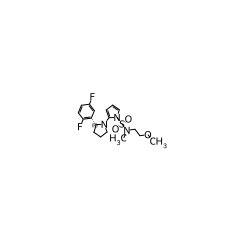 COCCN(C)S(=O)(=O)n1cccc1N1CCC[C@@H]1c1cc(F)ccc1F